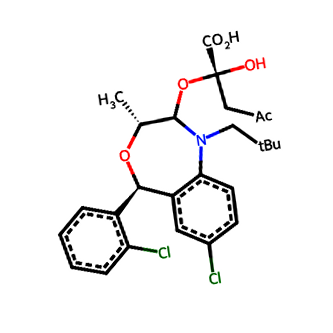 CC(=O)C[C@@](O)(OC1[C@@H](C)O[C@H](c2ccccc2Cl)c2cc(Cl)ccc2N1CC(C)(C)C)C(=O)O